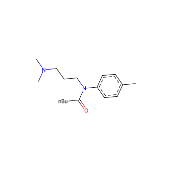 CCCCC(=O)N(CCCN(C)C)c1ccc(C)cc1